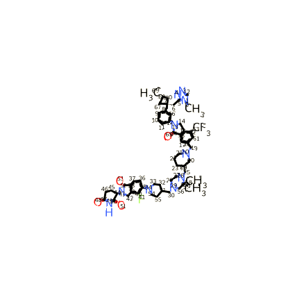 Cn1cnnc1C[C@]1(c2cccc(N3Cc4c(cc(CN5CCC[C@H](CN6CCN(CC7CCN(c8ccc9c(c8F)CN(C8CCC(=O)NC8=O)C9=O)CC7)CC6(C)C)C5)cc4C(F)(F)F)C3=O)c2)C[C@H](C)C1